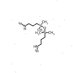 [2H]NCCC[Si](C)(C)O[Si](C)(C)CCCN[2H]